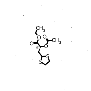 CCOC(=O)[C@H](CC1SCCS1)OC(C)=O